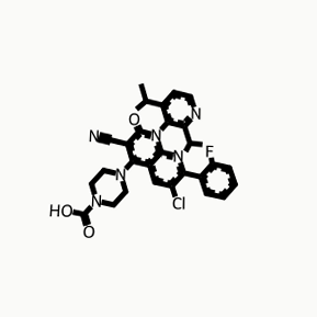 CC(C)c1ccnc(C(C)C)c1-n1c(=O)c(C#N)c(N2CCN(C(=O)O)CC2)c2cc(Cl)c(-c3ccccc3F)nc21